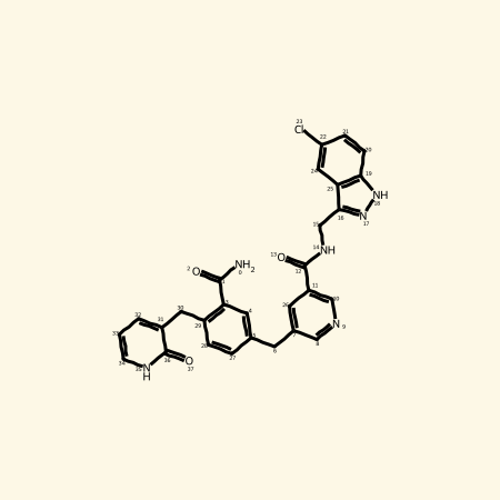 NC(=O)c1cc(Cc2cncc(C(=O)NCc3n[nH]c4ccc(Cl)cc34)c2)ccc1Cc1ccc[nH]c1=O